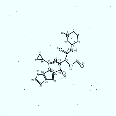 CN1CCCC(NC(=O)[C@@H](OC=O)n2nc(C3CC3)n3c(cc4ccsc43)c2=O)C1